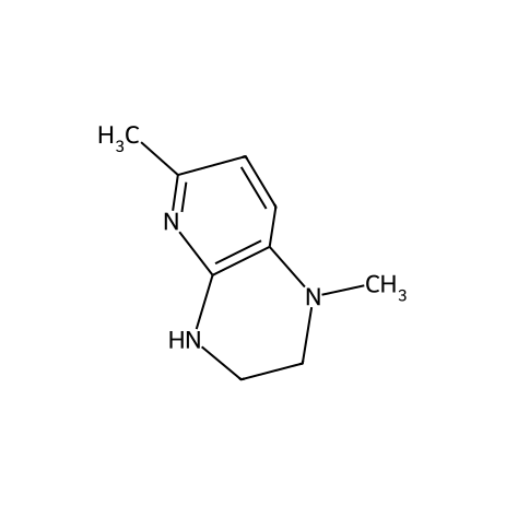 Cc1ccc2c(n1)NCCN2C